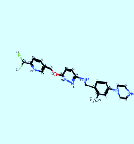 CC(=O)N1CCN(c2ccc(CNc3ccc(OCc4ccc(C(F)F)nc4)nn3)c(C(F)(F)F)c2)CC1